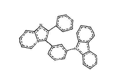 c1ccc(-c2nc3ccccn3c2-c2cccc(-n3c4ccccc4c4ccccc43)c2)cc1